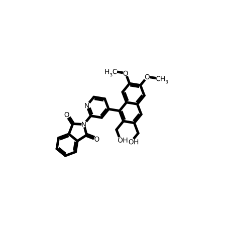 COc1cc2cc(CO)c(CO)c(-c3ccnc(N4C(=O)c5ccccc5C4=O)c3)c2cc1OC